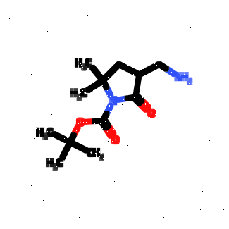 CC(C)(C)OC(=O)N1C(=O)C(CN)CC1(C)C